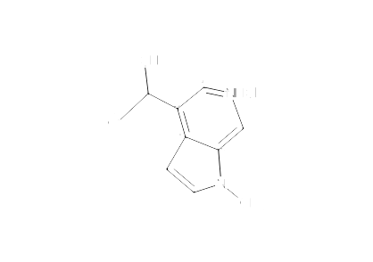 CC(Cl)c1cncc2c1ccn2C.Cl